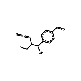 [N-]=[N+]=N[C@H](CF)[C@H](O)c1ccc(C=O)cc1